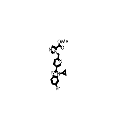 COC(=O)c1cncn1Cc1ccc(-c2nc3ccc(Br)cc3n2C2CC2)cn1